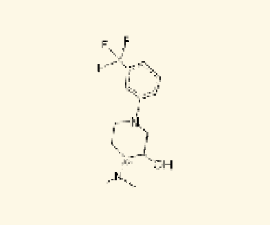 CN(C)[C@@H]1CCN(c2cccc(C(F)(F)F)c2)CC1O